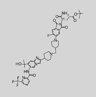 CC(C)(C)OC(=O)CC[C@@H](C(N)=O)N1C(=O)c2cc(F)c(N3CCC(CN4CCC(c5cn6cc(NC(=O)c7cccc(C(F)(F)F)n7)c(C(C)(C)O)cc6n5)CC4)CC3)cc2C1=O